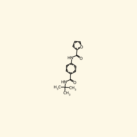 CC(C)(C)NC(=O)c1ccc(NC(=O)c2ccco2)cc1